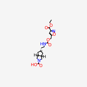 CCOC(=O)c1cc(COC(=O)NCC[C@@H]2C[C@@H]3CN(C(=O)O)C[C@@H]3C2)on1